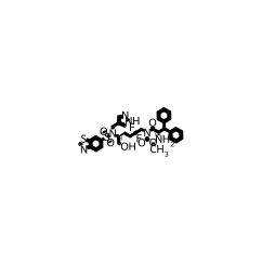 COC(=O)N(CC(F)(F)CC[C@@H](CO)N(Cc1cn[nH]c1)S(=O)(=O)c1ccc2ncsc2c1)C(=O)[C@@H](N)C(c1ccccc1)c1ccccc1